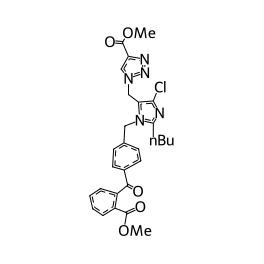 CCCCc1nc(Cl)c(Cn2cc(C(=O)OC)nn2)n1Cc1ccc(C(=O)c2ccccc2C(=O)OC)cc1